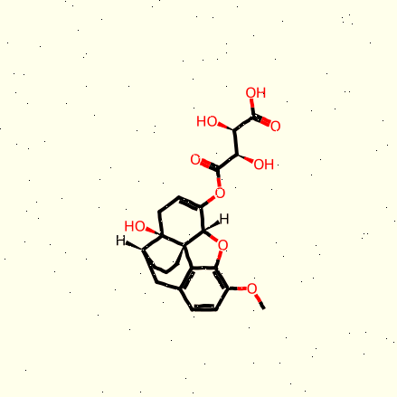 COc1ccc2c3c1O[C@H]1C(OC(=O)[C@H](O)[C@@H](O)C(=O)O)=CC[C@@]4(O)[C@H](CCC[C@]314)C2